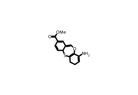 COC(=O)C1=CC2=COC3=C(CCC=C3N)SC2C=C1